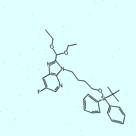 CCOC(OCC)c1nc2cc(F)cnc2n1CCCCO[Si](c1ccccc1)(c1ccccc1)C(C)(C)C